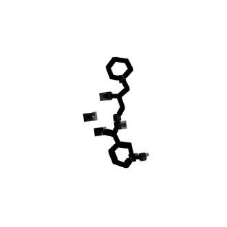 Cl.N=C(NOCC(O)CN1CCCCC1)c1ccc[n+]([O-])c1